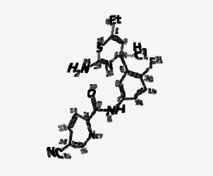 CCC1=C[C@@](C)(c2cc(NC(=O)c3ccc(C#N)cn3)ccc2F)N=C(N)S1